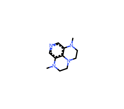 CN1CCN2CCN(C)c3cncc1c32